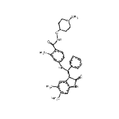 Cc1cc2c(cc1C(=O)O)NC(=O)/C2=C(/Nc1ccc(C(=O)NOC2CCN(C)CC2)c(C)c1)c1ccccc1